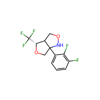 Fc1cccc(C23CO[C@H](C(F)(F)F)C2CON3)c1F